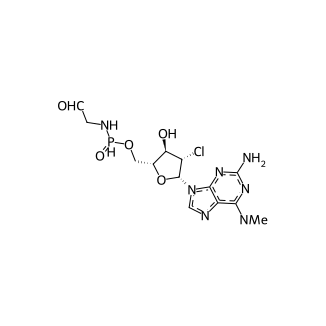 CNc1nc(N)nc2c1ncn2[C@@H]1O[C@H](CO[PH](=O)NCC=O)[C@@H](O)[C@@H]1Cl